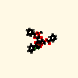 CO[C@H]1O[C@H](COC(=O)c2ccccc2)[C@](OC)(S(=O)(=O)C(F)(F)F)[C@H](OC(=O)c2ccccc2)[C@H]1OC(=O)c1ccccc1